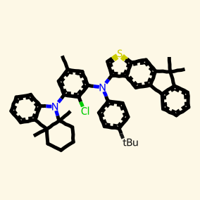 Cc1cc(N(c2ccc(C(C)(C)C)cc2)c2csc3cc4c(cc23)-c2ccccc2C4(C)C)c(Cl)c(N2c3ccccc3C3(C)CCCCC23C)c1